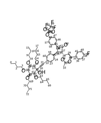 CCCCO[C@@H]1[C@@H](OCCCC)[C@H](OCCCC)C(O)(C#Cc2ccc([C@@H]3[C@@H](CC[C@H](OC(C)=O)c4ccc(F)cc4)C(=O)N3c3ccc(OS(=O)(=O)C(F)(F)F)cc3)cc2)[C@H](OCCCC)[C@H]1OCCCC